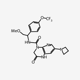 COCC(NC(=O)N1CC(=O)Nc2cc(N3CCC3)cnc21)c1ccc(OC(F)(F)F)cc1